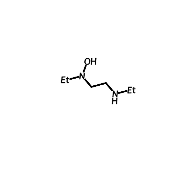 CCNCCN(O)CC